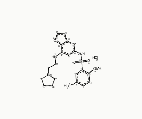 COc1ccc(C)cc1S(=O)(=O)Nc1cc(NCCN2CCCC2)c2occc2c1.Cl